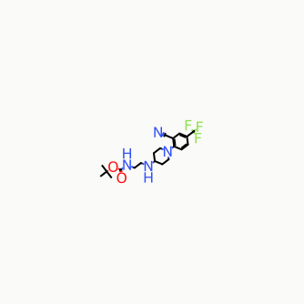 CC(C)(C)OC(=O)NCCNC1CCN(c2ccc(C(F)(F)F)cc2C#N)CC1